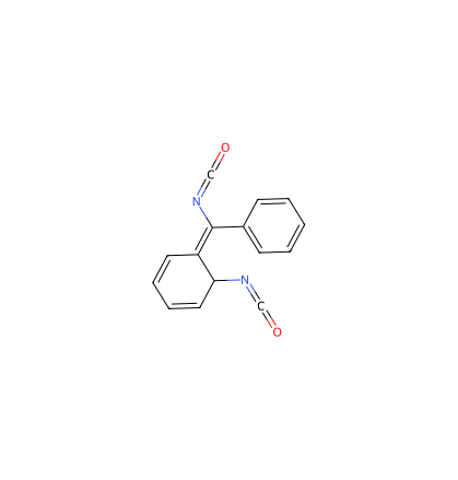 O=C=NC(=C1C=CC=CC1N=C=O)c1ccccc1